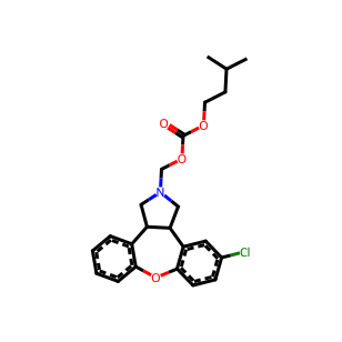 CC(C)CCOC(=O)OCN1CC2c3ccccc3Oc3ccc(Cl)cc3C2C1